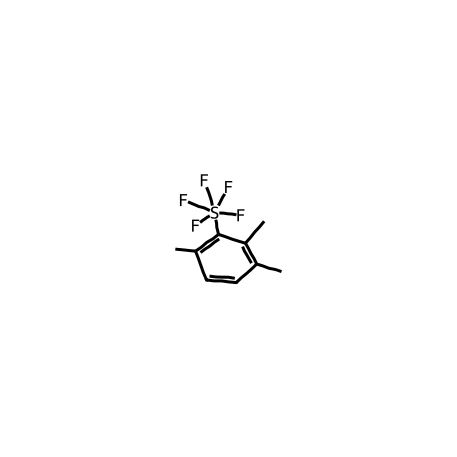 Cc1ccc(C)c(S(F)(F)(F)(F)F)c1C